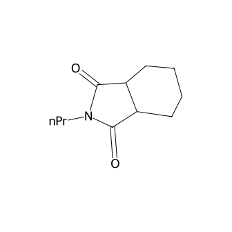 CCCN1C(=O)C2CCCCC2C1=O